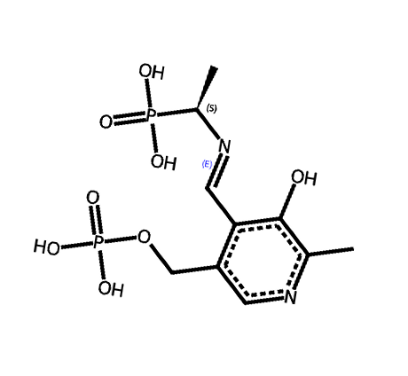 Cc1ncc(COP(=O)(O)O)c(/C=N/[C@H](C)P(=O)(O)O)c1O